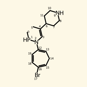 CPN(/C=C(\C)C1CCNCC1)C1=CCC=C(Br)C=C1